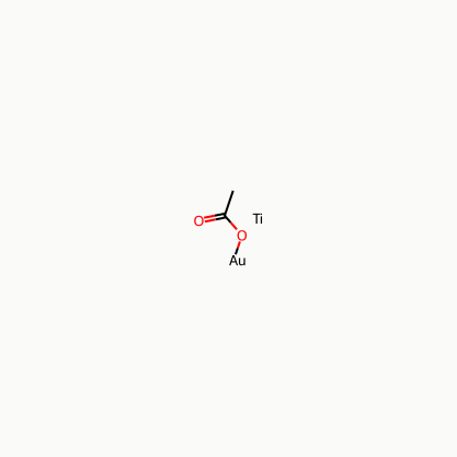 CC(=O)[O][Au].[Ti]